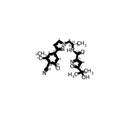 COc1cc(-c2ccn(C[C@H](C)NC(=O)c3cc(C(C)(C)O)on3)n2)cc(Cl)c1C#N